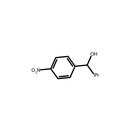 CC(C)C(O)c1ccc([N+](=O)[O-])cc1